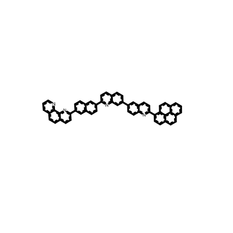 c1cnc2c(c1)ccc1ccc(-c3ccc4cc(-c5ccc6ccc(-c7ccc8nc(-c9ccc%10ccc%11cccc%12ccc9c%10c%11%12)ccc8c7)cc6n5)ccc4c3)nc12